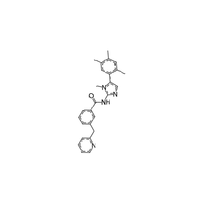 Cc1cc(C)c(-c2cnc(NC(=O)c3cccc(Cc4ccccn4)c3)n2C)cc1C